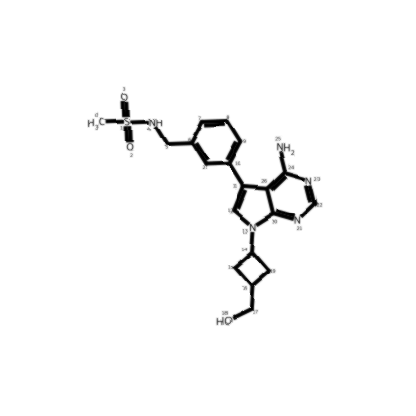 CS(=O)(=O)NCc1cccc(-c2cn(C3CC(CO)C3)c3ncnc(N)c23)c1